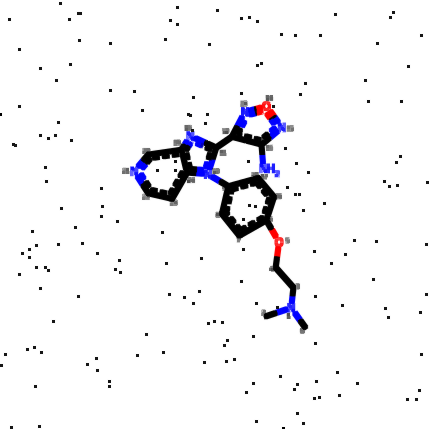 CN(C)CCOc1ccc(-n2c(-c3nonc3N)nc3cnccc32)cc1